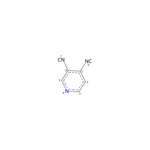 [C-]#[N+]c1ccncc1[N+]#[C-]